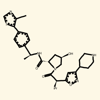 Cc1ncsc1-c1ccc([C@H](C)NC(=O)[C@@H]2C[C@@H](O)CN2C(=O)[C@@H](c2cc(C3CCNCC3)no2)C(C)C)cc1